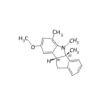 COc1cc(C)c2c(c1)[C@H]1Cc3ccccc3[C@@]1(C)N2C